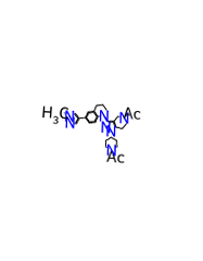 CC(=O)N1CCC(n2nc(N3CCCc4cc(-c5cnn(C)c5)ccc43)c3c2CCN(C(C)=O)C3)CC1